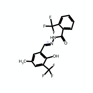 Cc1cc(/C=N/NC(=O)c2ccccc2C(F)(F)F)c(O)c(C(F)(F)F)c1